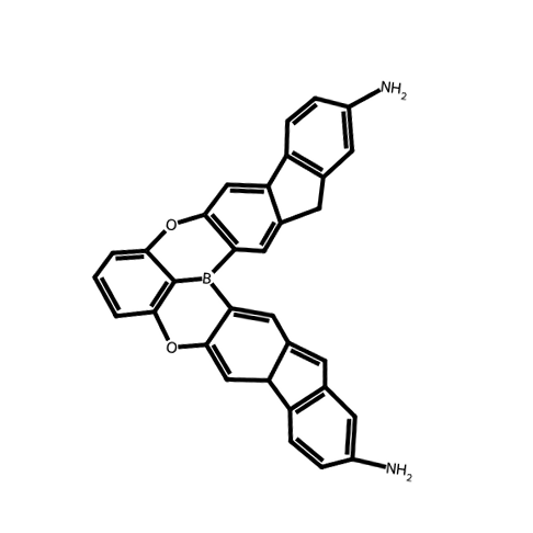 Nc1ccc2c(c1)C=C1C=C3B4c5cc6c(cc5Oc5cccc(c54)OC3=CC12)-c1ccc(N)cc1C6